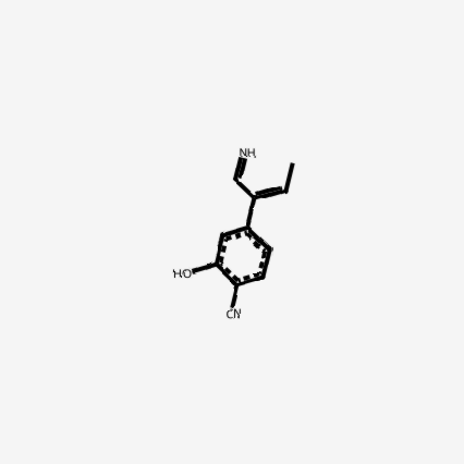 C/C=C(\C=N)c1ccc(C#N)c(O)c1